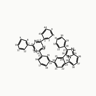 c1ccc(-c2nc(-c3ccccc3)nc(-c3cccc(-c4ccc5c(c4)c4c(-c6ccccc6)nc6cccc5n64)c3)n2)cc1